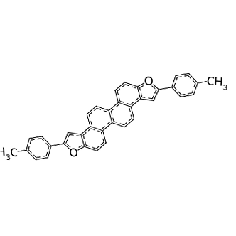 Cc1ccc(-c2cc3c(ccc4c3ccc3c5ccc6oc(-c7ccc(C)cc7)cc6c5ccc43)o2)cc1